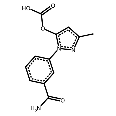 Cc1cc(OC(=O)O)n(-c2cccc(C(N)=O)c2)n1